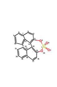 O=S1(=O)Oc2ccc3ccccc3c2-c2c(ccc3ccccc23)O1